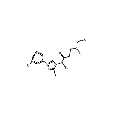 CCN(C(=O)CC[S+]([O-])CC(F)(F)F)c1cn(-c2ccc[n+]([O-])c2)nc1C